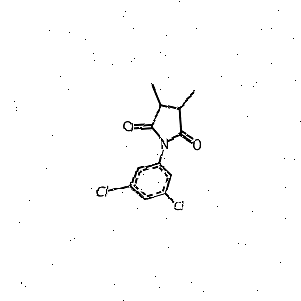 CC1C(=O)N(c2cc(Cl)cc(Cl)c2)C(=O)C1C